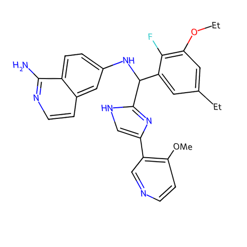 CCOc1cc(CC)cc(C(Nc2ccc3c(N)nccc3c2)c2nc(-c3cnccc3OC)c[nH]2)c1F